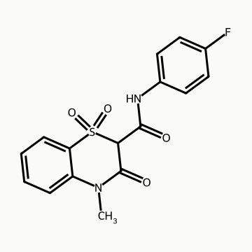 CN1C(=O)C(C(=O)Nc2ccc(F)cc2)S(=O)(=O)c2ccccc21